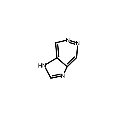 [c]1nc2cnncc2[nH]1